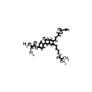 C=C(C)C(=O)OCCCCc1cc2cc(-c3ccc(OC(=O)C(=C)C)cc3)c(=O)oc2cc1CCCCOC(=O)C(C)C